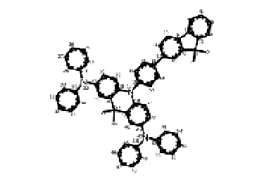 CC1(C)c2ccccc2-c2ccc(-c3ccc(N4c5ccc(N(c6ccccc6)c6ccccc6)cc5C(C)(C)c5cc(N(c6ccccc6)c6ccccc6)ccc54)cc3)cc21